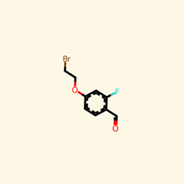 O=Cc1ccc(OCCBr)cc1F